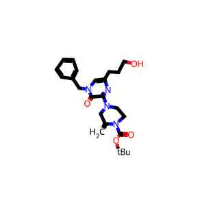 C=C1CN(c2nc(CCCO)cn(Cc3ccccc3)c2=O)CCN1C(=O)OC(C)(C)C